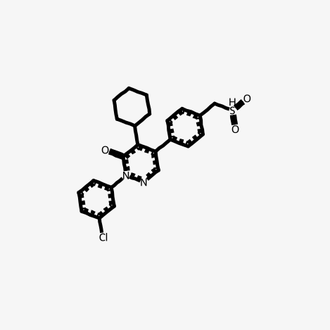 O=c1c(C2CCCCC2)c(-c2ccc(C[SH](=O)=O)cc2)cnn1-c1cccc(Cl)c1